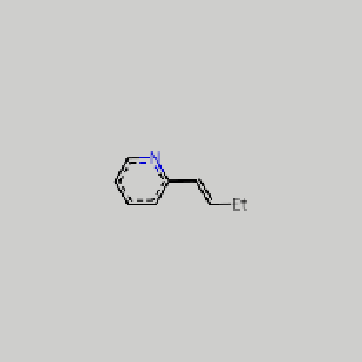 [CH2]CC=Cc1ccccn1